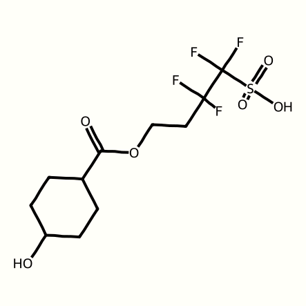 O=C(OCCC(F)(F)C(F)(F)S(=O)(=O)O)C1CCC(O)CC1